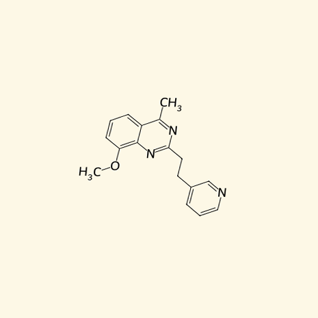 COc1cccc2c(C)nc(CCc3cccnc3)nc12